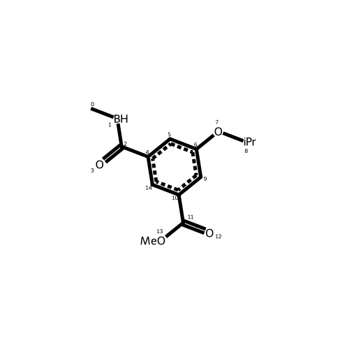 CBC(=O)c1cc(OC(C)C)cc(C(=O)OC)c1